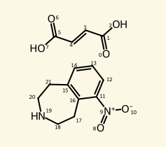 O=C(O)C=CC(=O)O.O=[N+]([O-])c1cccc2c1CCNCC2